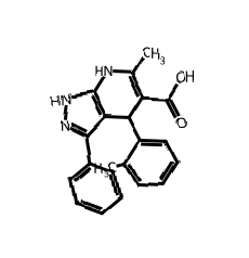 CC1=C(C(=O)O)C(c2ccccc2C)c2c(-c3ccccc3)n[nH]c2N1